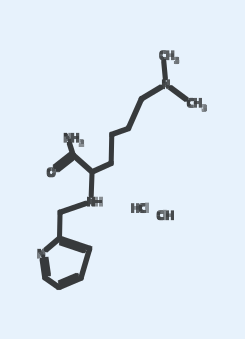 CN(C)CCCCC(NCc1ccccn1)C(N)=O.Cl.Cl